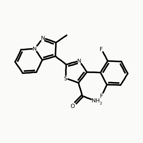 Cc1nn2ccccc2c1-c1nc(-c2c(F)cccc2F)c(C(N)=O)s1